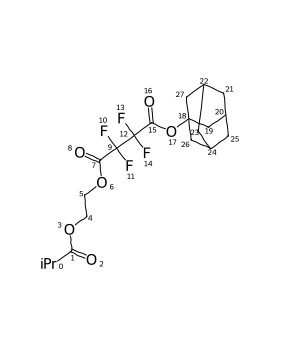 CC(C)C(=O)OCCOC(=O)C(F)(F)C(F)(F)C(=O)OC12CC3CC(CC(C3)C1)C2